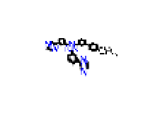 Cc1ccc(-c2cccc(-c3nc(-c4cccc(-c5cnccn5)c4)nc(-c4cccc(-c5cnccn5)c4)n3)c2)cc1